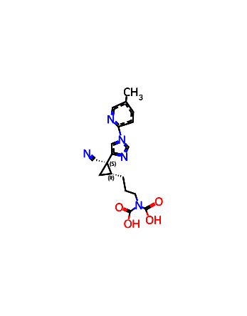 Cc1ccc(-n2cnc([C@]3(C#N)C[C@H]3CCCN(C(=O)O)C(=O)O)c2)nc1